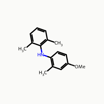 COc1ccc(Nc2c(C)cccc2C)c(C)c1